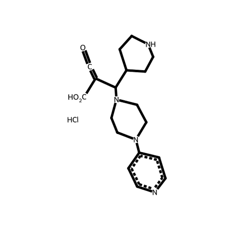 Cl.O=C=C(C(=O)O)C(C1CCNCC1)N1CCN(c2ccncc2)CC1